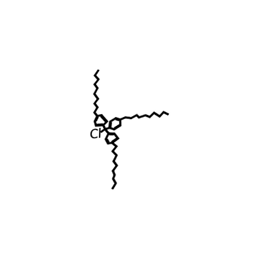 CCCCCCCCCCc1ccc(C(Cl)(c2ccc(CCCCCCCCCC)cc2)c2ccc(CCCCCCCCCC)cc2)cc1